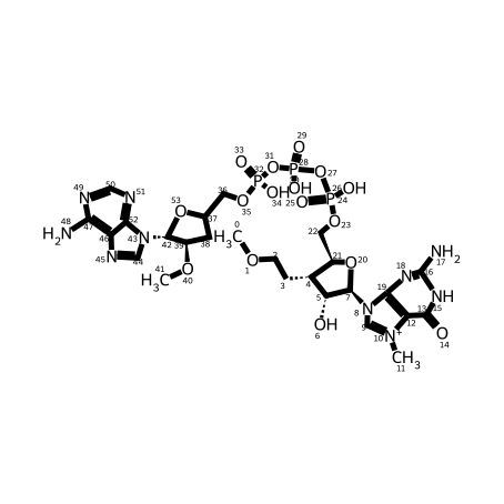 COCC[C@H]1[C@@H](O)[C@H](n2c[n+](C)c3c(=O)[nH]c(N)nc32)O[C@@H]1COP(=O)(O)OP(=O)(O)OP(=O)(O)OCC1C[C@@H](OC)[C@H](n2cnc3c(N)ncnc32)O1